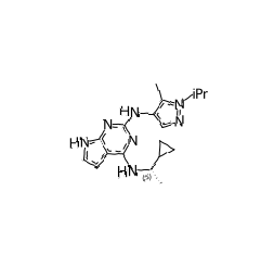 Cc1c(Nc2nc(N[C@@H](C)C3CC3)c3cc[nH]c3n2)cnn1C(C)C